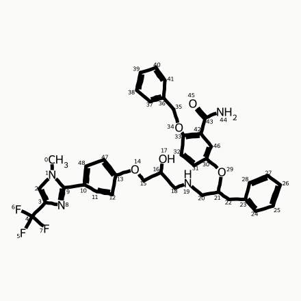 Cn1cc(C(F)(F)F)nc1-c1ccc(OCC(O)CNCC(Cc2ccccc2)Oc2ccc(OCc3ccccc3)c(C(N)=O)c2)cc1